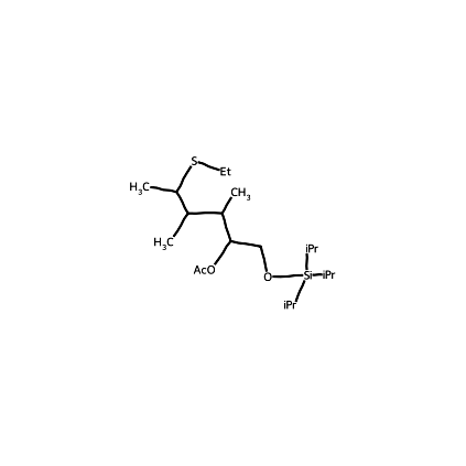 CCSC(C)C(C)C(C)C(CO[Si](C(C)C)(C(C)C)C(C)C)OC(C)=O